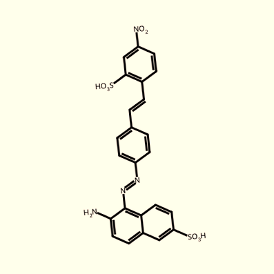 Nc1ccc2cc(S(=O)(=O)O)ccc2c1N=Nc1ccc(/C=C/c2ccc([N+](=O)[O-])cc2S(=O)(=O)O)cc1